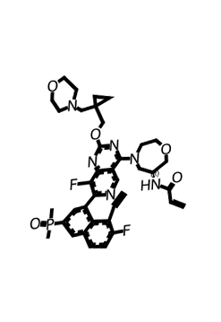 C#Cc1c(F)ccc2cc(P(C)(C)=O)cc(-c3ncc4c(N5CCOC[C@H](NC(=O)C=C)C5)nc(OCC5(CN6CCOCC6)CC5)nc4c3F)c12